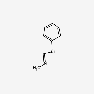 C/N=[C]/Nc1ccccc1